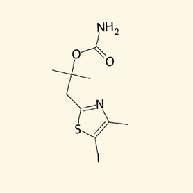 Cc1nc(CC(C)(C)OC(N)=O)sc1I